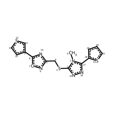 Cn1c(SCc2noc(-c3ccsc3)n2)nnc1-c1cccs1